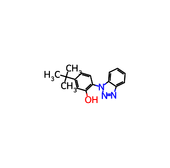 CC(C)(C)c1ccc(-n2nnc3ccccc32)c(O)c1